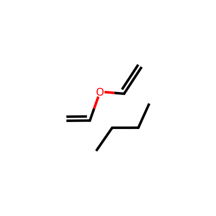 C=COC=C.CCCC